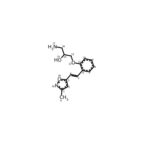 Cc1cc(C=Cc2ccccc2OCC(O)CN)on1